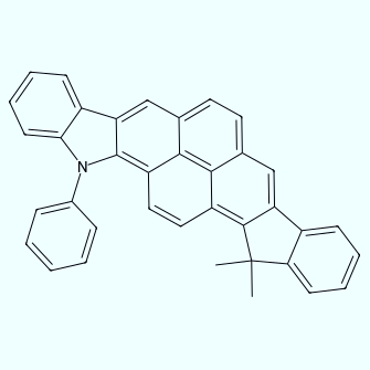 CC1(C)c2ccccc2-c2cc3ccc4cc5c6ccccc6n(-c6ccccc6)c5c5ccc(c21)c3c45